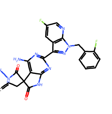 C=CCC1(C(=O)NN)C(=O)Nc2nc(-c3nn(Cc4ccccc4F)c4ncc(F)cc34)nc(N)c21